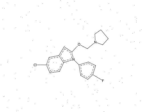 Fc1ccc(-n2c(OCN3CCCC3)cc3cc(Cl)ccc32)cc1